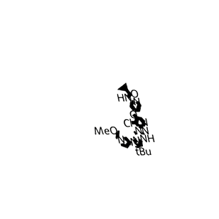 COCCN1CC[C@H](n2nc(Nc3nc4ncc(Oc5ccnc(NC(=O)C6CC6)c5)c(Cl)c4n3C)cc2C(C)(C)C)C1